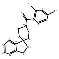 O=C(c1ccc(F)cc1F)N1CCC2(CC1)OCc1ccccc12